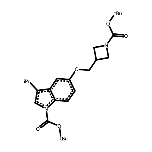 CC(C)c1cn(C(=O)OC(C)(C)C)c2ccc(OCC3CN(C(=O)OC(C)(C)C)C3)cc12